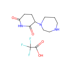 O=C(O)C(F)(F)F.O=C1CCC(N2CCCNCC2)C(=O)N1